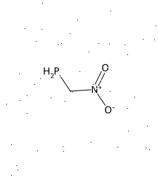 O=[N+]([O-])CP